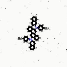 CC(C)(C)c1ccc(N(c2ccc3ccccc3c2)c2cc3c(cc(N(c4ccc(C(C)(C)C)cc4)c4ccc5ccccc5c4)c4ccccc43)c3c2=CCCC=3)cc1